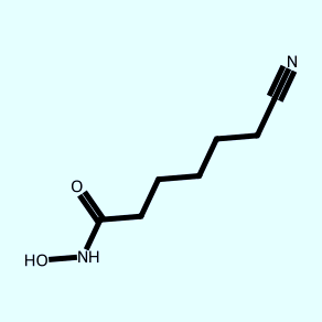 N#CCCCCCC(=O)NO